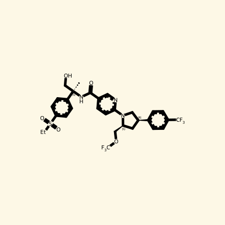 CCS(=O)(=O)c1ccc([C@@](C)(CO)NC(=O)c2ccc(N3C[C@@H](c4ccc(C(F)(F)F)cc4)C[C@H]3COC(F)(F)F)nc2)cc1